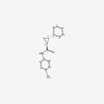 O=C(Nc1ccc(C(F)(F)F)cn1)[C@H]1C[C@@H]1c1ccccc1